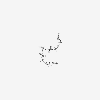 CC(C)(CN=[N+]=[N-])COCC(C)(C)CNC(=O)CCC(C)(N)CCC(=O)NCC(C)(C)COCC(C)(C)CN=[N+]=[N-]